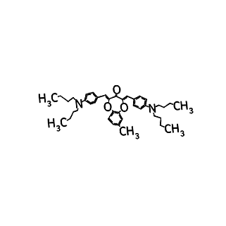 CCCCN(CCCC)c1ccc(/C=C2\Oc3ccc(C)cc3O/C(=C\c3ccc(N(CCCC)CCCC)cc3)C2=O)cc1